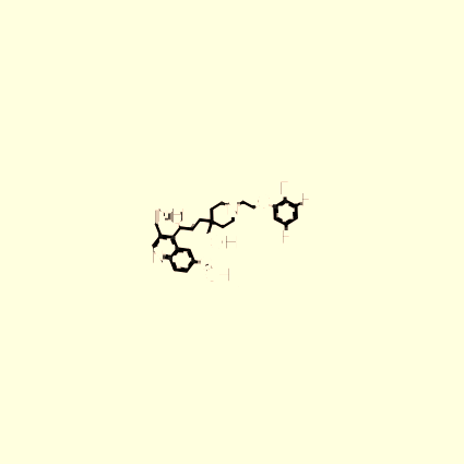 COc1ccc2ncc(CN)c([C@@H](O)CCC3(CO)CCN(CCOc4cc(F)cc(F)c4F)CC3)c2c1